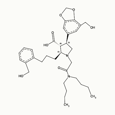 CCCCN(CCCC)C(=O)CN1C[C@H](c2cc(CO)c3c(c2)OCO3)[C@@H](C(=O)O)[C@@H]1CCCc1ccccc1CO